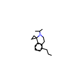 CCCc1cccc2c1CCN(C(C)C)C21CC1